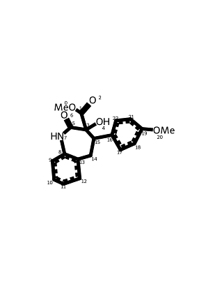 COC(=O)C1(O)C(=O)Nc2ccccc2CC1c1ccc(OC)cc1